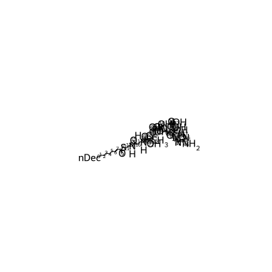 CCCCCCCCCCCCCCCC=CC(=O)SCCNC(=O)CCNC(=O)[C@H](O)C(C)(C)COP(=O)(O)OP(=O)(O)OC[C@H]1O[C@@H](n2cnc3c(N)ncnc32)[C@H](O)[C@@H]1OP(=O)(O)O